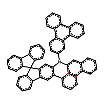 c1ccc(-c2cc3c(cc2N(c2ccc4ccccc4c2)c2ccc4c5ccccc5c5ccccc5c4c2)C2(c4ccccc4-c4ccccc42)c2ccccc2-3)cc1